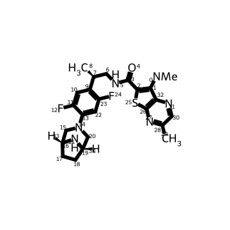 CNc1c(C(=O)NC[C@H](C)c2cc(F)c(N3C[C@H]4CC[C@@H](C3)N4)cc2F)sc2nc(C)cnc12